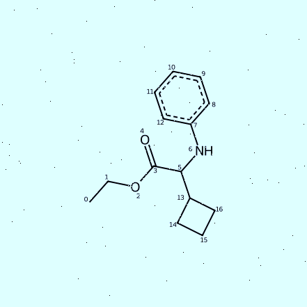 CCOC(=O)C(Nc1ccccc1)C1CCC1